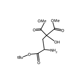 COC(=O)C(O)(CC(N)C(=O)OC(C)(C)C)C(=O)OC